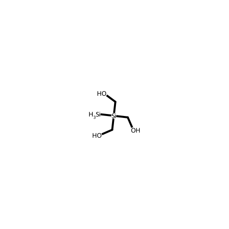 OC[Si]([SiH3])(CO)CO